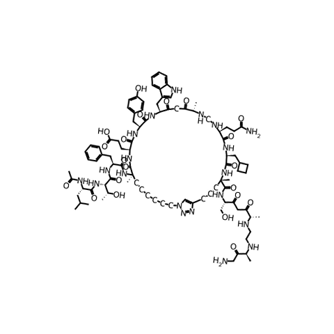 CC(=O)N[C@@H](CC(C)C)C(=O)N[C@H](C(=O)N[C@@H](Cc1ccccc1)C(=O)N[C@]1(C)CCCCCCn2cc(nn2)CCC[C@@](C)(C(=O)N[C@@H](CO)C(=O)CC(=O)[C@H](C)NCCN[C@@H](C)C(=O)CN)NC(=O)[C@H](CC2CCC2)NC(=O)[C@H](CCC(N)=O)NCN[C@@H](C)C(=O)CC(=O)[C@H](Cc2c[nH]c3ccccc23)NC(=O)[C@H](Cc2ccc(O)cc2)NC(=O)[C@H](CCC(=O)O)NC1=O)[C@@H](C)O